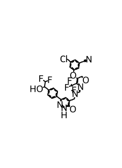 CN(/C=N\C(=C(/C=O)Oc1cc(Cl)cc(C#N)c1)C(F)(F)F)Cc1cc(-c2ccc(C(O)C(F)F)cc2)n[nH]c1=O